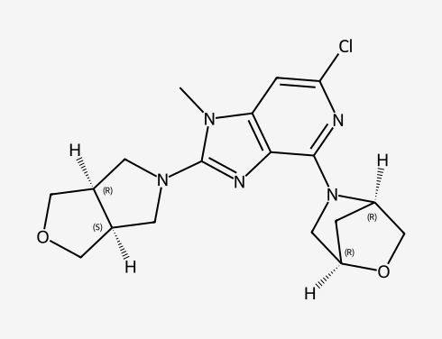 Cn1c(N2C[C@H]3COC[C@H]3C2)nc2c(N3C[C@H]4C[C@@H]3CO4)nc(Cl)cc21